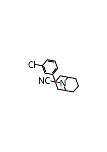 N#CC1CC2CCCC(C1)N2Cc1cccc(Cl)c1